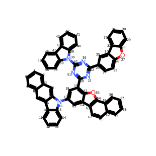 c1ccc2cc3c(cc2c1)c1ccccc1n3-c1cc(-c2nc(-c3ccc4oc5ccccc5c4c3)nc(-n3c4ccccc4c4ccccc43)n2)c2oc3c4ccccc4ccc3c2c1